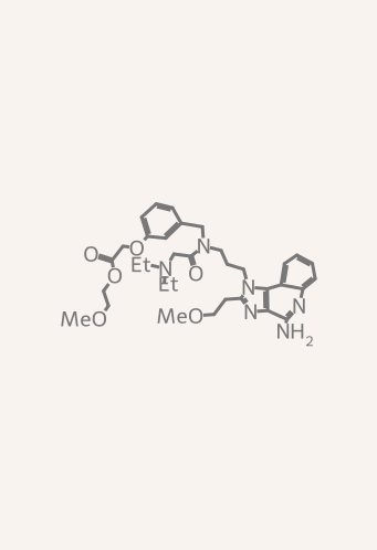 CCN(CC)CC(=O)N(CCCn1c(CCOC)nc2c(N)nc3ccccc3c21)Cc1cccc(OCC(=O)OCCOC)c1